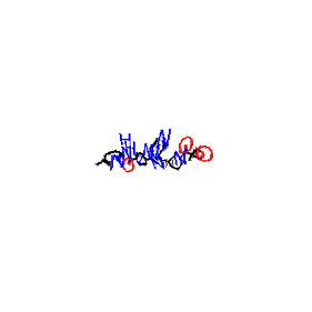 Cc1ccc(NC(=O)c2ccc(C3=NC([C@@H]4CCCN(C(=O)C5(C)COC5)C4)=C4C=NC=C[N+]34N)cc2)nc1